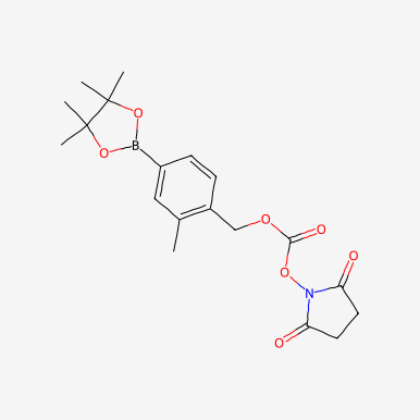 Cc1cc(B2OC(C)(C)C(C)(C)O2)ccc1COC(=O)ON1C(=O)CCC1=O